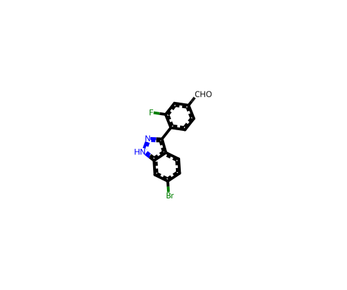 O=Cc1ccc(-c2n[nH]c3cc(Br)ccc23)c(F)c1